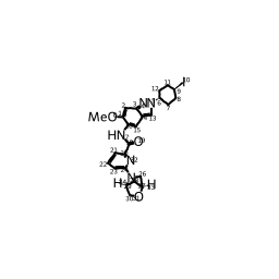 COc1cc2nn([C@H]3CC[C@H](I)CC3)cc2cc1NC(=O)c1cccc(N2C[C@@H]3C[C@H]2CO3)n1